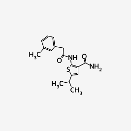 Cc1cccc(CC(=O)Nc2sc(C(C)C)cc2C(N)=O)c1